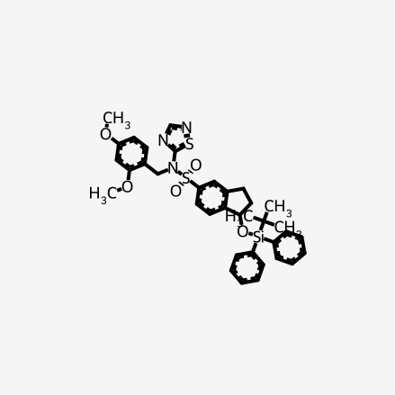 COc1ccc(CN(c2ncns2)S(=O)(=O)c2ccc3c(c2)CCC3O[Si](c2ccccc2)(c2ccccc2)C(C)(C)C)c(OC)c1